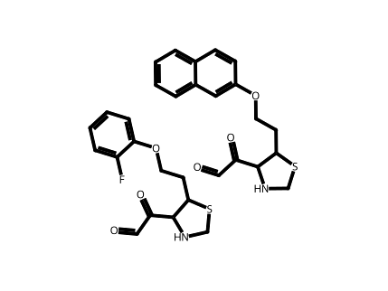 O=CC(=O)C1NCSC1CCOc1ccc2ccccc2c1.O=CC(=O)C1NCSC1CCOc1ccccc1F